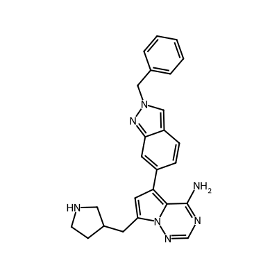 Nc1ncnn2c(CC3CCNC3)cc(-c3ccc4cn(Cc5ccccc5)nc4c3)c12